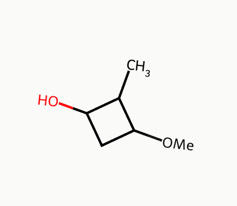 COC1CC(O)C1C